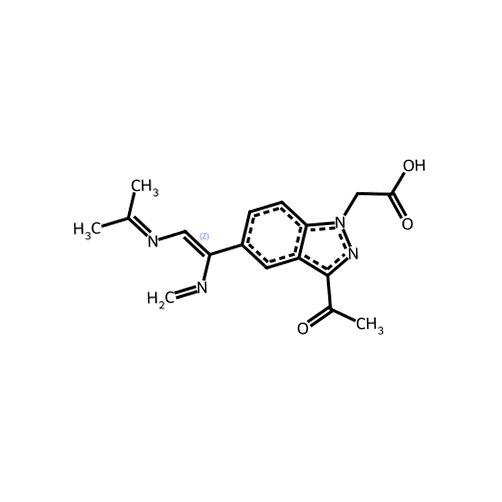 C=N/C(=C\N=C(C)C)c1ccc2c(c1)c(C(C)=O)nn2CC(=O)O